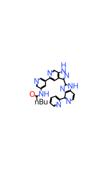 CCCCC(=O)Nc1cncc(-c2cc3c(-c4nc5c(-c6ccccn6)nccc5[nH]4)n[nH]c3cn2)c1